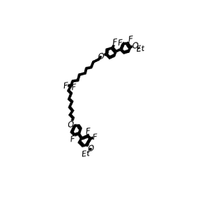 CCOc1ccc(-c2ccc(OCCCCCCCCC(F)(F)CCCCCCCCOc3ccc(-c4ccc(OCC)c(F)c4F)c(F)c3)cc2F)c(F)c1F